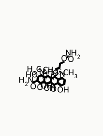 CN(C)c1ccc(O)c2c1C[C@@]1(COCCCCOC(N)=O)C[C@H]3[C@H](N(C)C)C(O)=C(C(N)=O)C(=O)[C@@]3(O)C(O)=C1C2=O